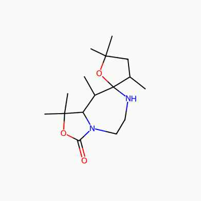 CC1CC(C)(C)OC12NCCN1C(=O)OC(C)(C)C1C2C